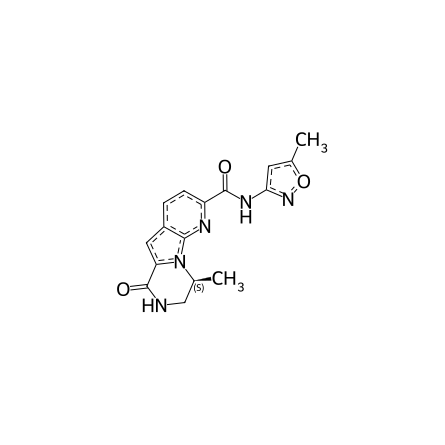 Cc1cc(NC(=O)c2ccc3cc4n(c3n2)[C@@H](C)CNC4=O)no1